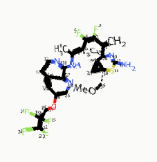 C=C(/C(F)=C(F)\C=C(/C)Nc1nccc2cc(OCC(F)(F)C(F)F)cnc12)[C@@]1(C)N=C(N)S[C@@]2(COC)C=C12